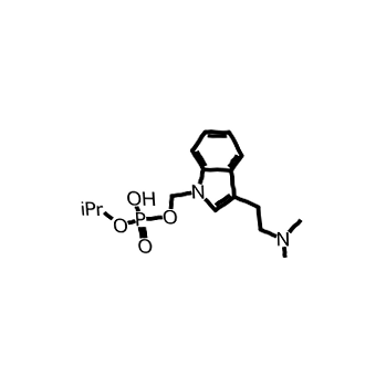 CC(C)OP(=O)(O)OCn1cc(CCN(C)C)c2ccccc21